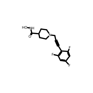 O=C(NO)C1CCN(CC#Cc2c(F)cc(F)cc2F)CC1